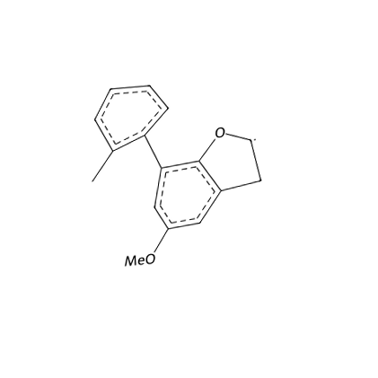 COc1cc2c(c(-c3ccccc3C)c1)O[CH]C2